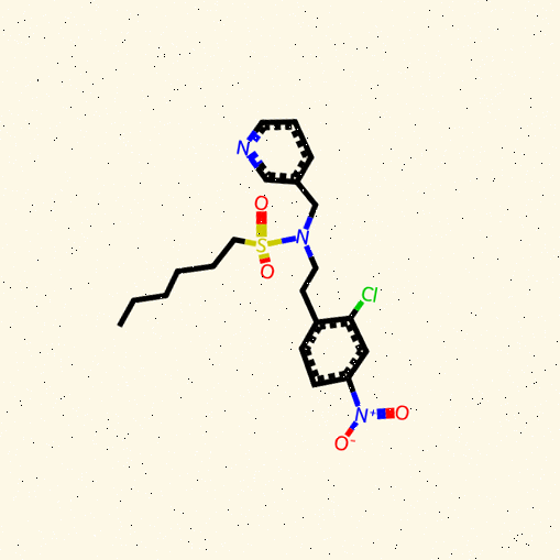 CCCCCCS(=O)(=O)N(CCc1ccc([N+](=O)[O-])cc1Cl)Cc1cccnc1